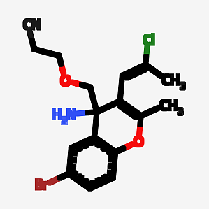 CC1=C(/C=C(\C)Cl)C(N)(COCCC#N)c2cc(Br)ccc2O1